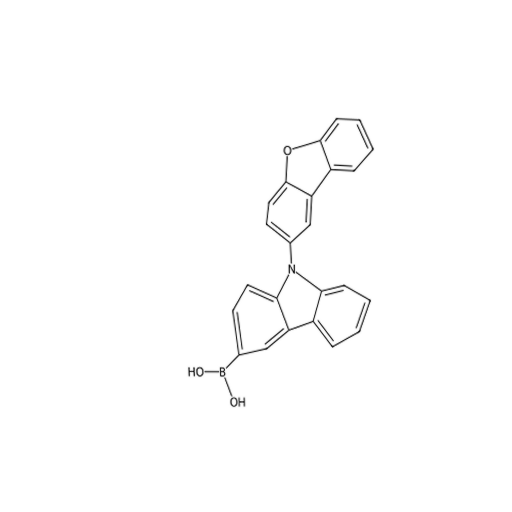 OB(O)c1ccc2c(c1)c1ccccc1n2-c1ccc2oc3ccccc3c2c1